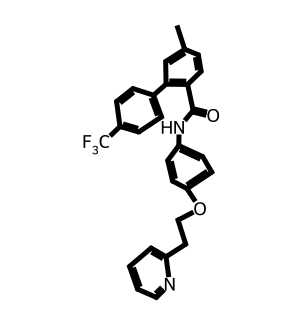 Cc1ccc(C(=O)Nc2ccc(OCCc3ccccn3)cc2)c(-c2ccc(C(F)(F)F)cc2)c1